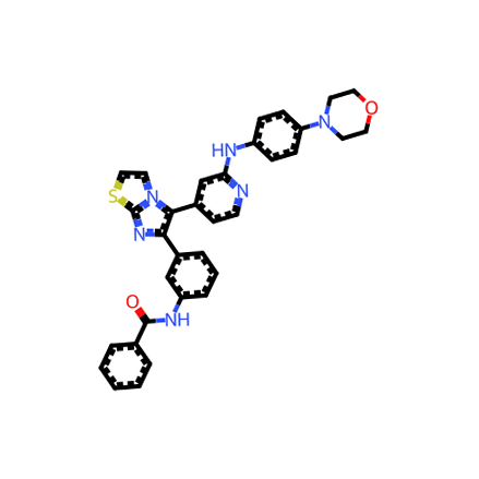 O=C(Nc1cccc(-c2nc3sccn3c2-c2ccnc(Nc3ccc(N4CCOCC4)cc3)c2)c1)c1ccccc1